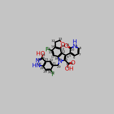 O=C(O)c1c(-c2ccc[nH]c2=O)c2c3c(c(F)cc2n1Cc1cc2c(O)n[nH]c2cc1F)CCO3